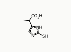 CC(C(=O)O)c1cnc(S)[nH]1